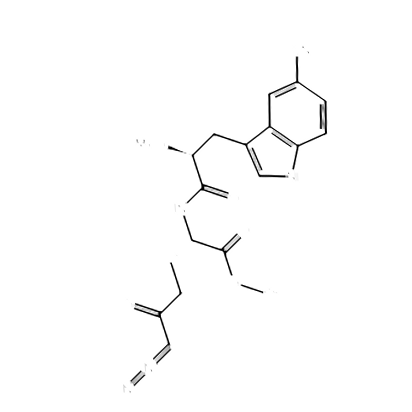 CO[C@@H](Cc1c[nH]c2ccc(C#N)cc12)C(=O)N[C@@H](CCC(=O)C=[N+]=[N-])C(=O)OC(C)C